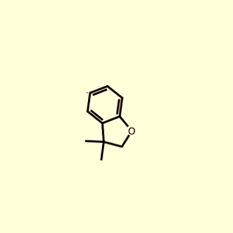 CC1(C)COc2cc[c]cc21